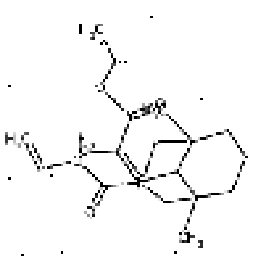 C=COC(=O)N1CC2(C)CCCC(C)(C1)C2C=C(C)C(=O)OCC